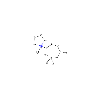 CC[N+]1(C2CCC(C)CC(C)(C)C2)CCCC1